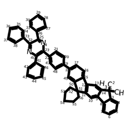 CC1(C)c2ccccc2-c2cc3c(cc21)-c1ccc(-c2ccc(-c4nc(-c5ccccc5)c(-c5ccccc5)nc4-c4ccccc4)cc2)cc1C31CCCCC1